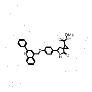 CONC(=O)C1CC12CC(c1ccc(OCc3cc(-c4ccccc4)nc4ccccc34)cc1)NC2=O